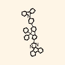 c1ccc(C2(c3ccccc3)c3cc(-c4ccc(-n5c6ccccc6c6ccccc65)cc4)ccc3-c3ccc(-c4cnc5c6ccccc6c6ccccc6c5n4)cc32)cc1